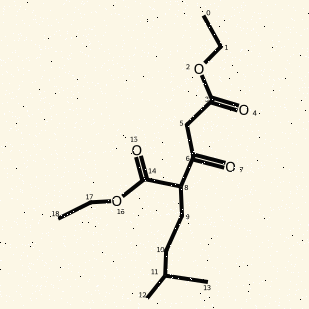 CCOC(=O)CC(=O)C(CCC(C)C)C(=O)OCC